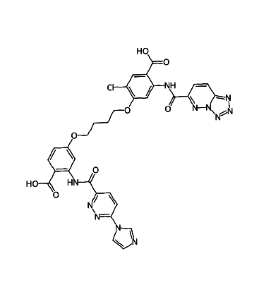 O=C(Nc1cc(OCCCCOc2cc(NC(=O)c3ccc4nnnn4n3)c(C(=O)O)cc2Cl)ccc1C(=O)O)c1ccc(-n2ccnc2)nn1